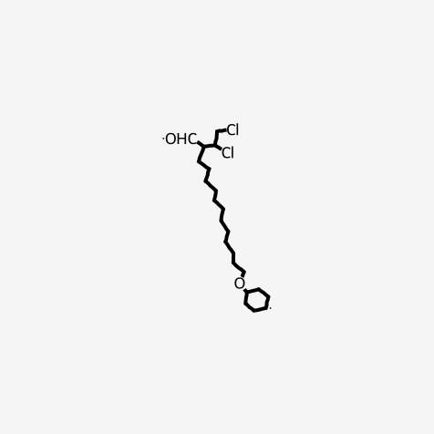 O=[C]C(CCCCCCCCCCCCOC1CC[CH]CC1)C(Cl)CCl